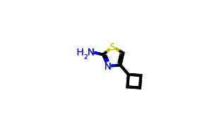 Nc1nc(C2CCC2)cs1